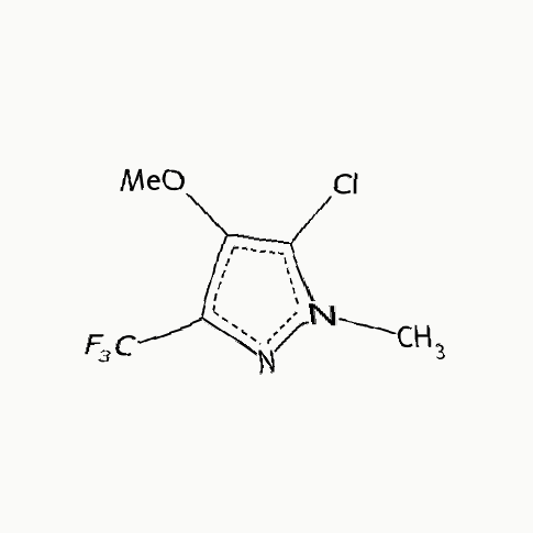 COc1c(C(F)(F)F)nn(C)c1Cl